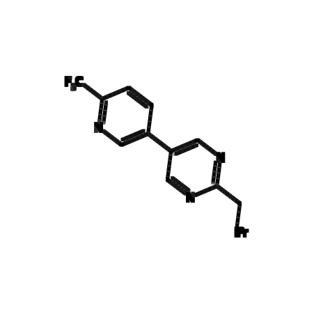 CC(C)Cc1ncc(-c2ccc(C(F)(F)F)nc2)cn1